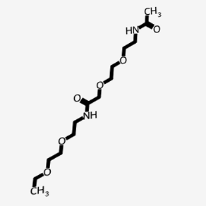 CCOCCOCCNC(=O)COCCOCCNC(C)=O